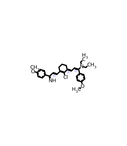 CCN(CC)/C(=C/C=C1\CCCC(/C=C/C(=N)c2ccc(OC)cc2)=C1Cl)c1ccc(OC)cc1